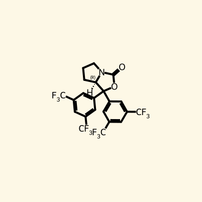 O=C1OC(c2cc(C(F)(F)F)cc(C(F)(F)F)c2)(c2cc(C(F)(F)F)cc(C(F)(F)F)c2)[C@H]2CCCN12